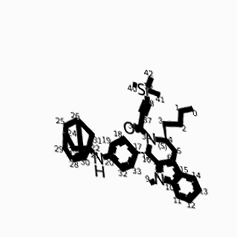 CCCC[C@H]1Cc2c(n(C)c3ccccc23)[C@H](c2ccc(NC34CC5CC(CC(C5)C3)C4)cc2)N1C(=O)C#C[Si](C)(C)C